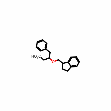 O=C(O)CC(Cc1ccccc1)OCC1CCc2ccccc21